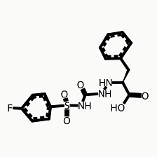 O=C(NN[C@@H](Cc1ccccc1)C(=O)O)NS(=O)(=O)c1ccc(F)cc1